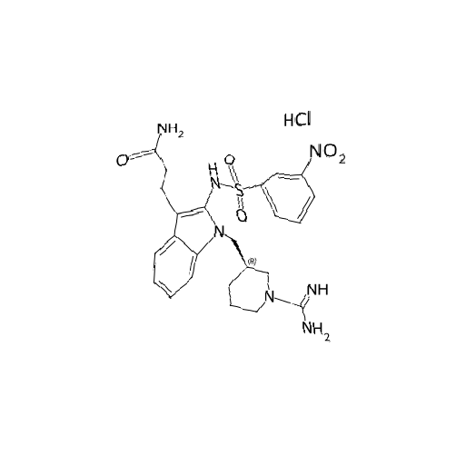 Cl.N=C(N)N1CCC[C@@H](Cn2c(NS(=O)(=O)c3cccc([N+](=O)[O-])c3)c(CCC(N)=O)c3ccccc32)C1